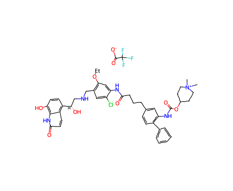 CCOc1cc(NC(=O)CCCc2ccc(-c3ccccc3)c(NC(=O)OC3CC[N+](C)(C)CC3)c2)c(Cl)cc1CNC[C@H](O)c1ccc(O)c2[nH]c(=O)ccc12.O=C([O-])C(F)(F)F